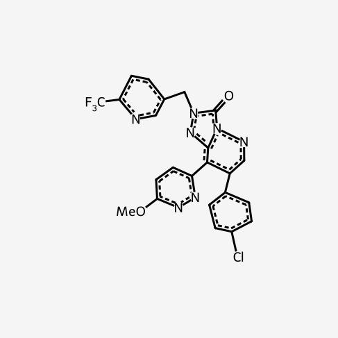 COc1ccc(-c2c(-c3ccc(Cl)cc3)cnn3c(=O)n(Cc4ccc(C(F)(F)F)nc4)nc23)nn1